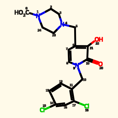 O=C(O)N1CCN(Cc2ccn(Cc3ccc(Cl)cc3Cl)c(=O)c2O)CC1